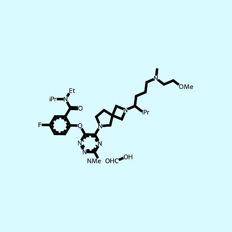 CCN(C(=O)c1cc(F)ccc1Oc1nnc(NC)nc1N1CCC2(C1)CN(C(CCCN(C)CCOC)C(C)C)C2)C(C)C.O=CO